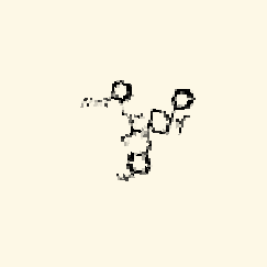 COc1ccccc1CN1C[C@]2(CC[C@@](c3ccccc3)(N(C)C)CC2)N(Cc2ccc(C#N)cc2)C1=O